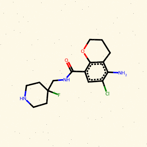 Nc1c(Cl)cc(C(=O)NCC2(F)CCNCC2)c2c1CCCO2